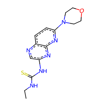 CCNC(=S)Nc1cnc2ccc(N3CCOCC3)nc2n1